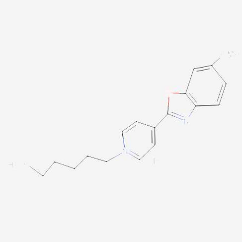 COc1ccc2nc(-c3cc[n+](CCCCCC(=O)O)cc3)oc2c1.[Br-]